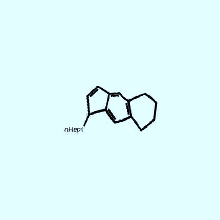 CCCCCCC[C]1C=Cc2cc3c(cc21)CCCC3